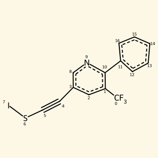 FC(F)(F)c1cc(C#CSI)cnc1-c1ccccc1